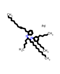 CCCCCCCCC#CCCc1ccccc1N=C(CCCCC)C(C=CCCCCCCCCC)=Nc1cc(CCCCC)cc(CCCCC)c1.[Pd]